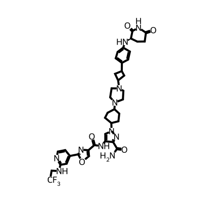 NC(=O)c1nn(C2CCC(N3CCN(C4CC(c5ccc(N[C@@H]6CCC(=O)NC6=O)cc5)C4)CC3)CC2)cc1NC(=O)c1coc(-c2ccnc(NCC(F)(F)F)c2)n1